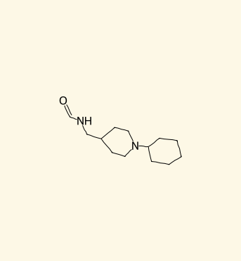 O=CNCC1CCN(C2CCCCC2)CC1